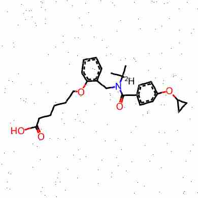 [2H]C(C)(C)N(Cc1ccccc1OCCCCCC(=O)O)C(=O)c1ccc(OC2CC2)cc1